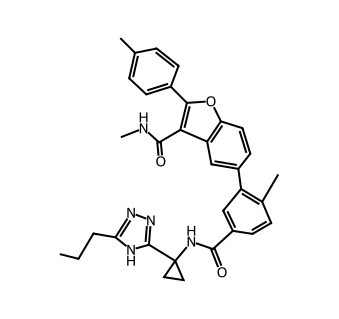 CCCc1nnc(C2(NC(=O)c3ccc(C)c(-c4ccc5oc(-c6ccc(C)cc6)c(C(=O)NC)c5c4)c3)CC2)[nH]1